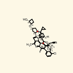 Cc1nc2c(F)c(-c3cccc(Cl)c3Cl)c(CCC#N)cc2c2c1cc([C@H]1C[C@H](O[C@@H]3CC[C@H]3O)CN1C(=O)C1CC1)n2[C@H]1[C@@H]2C[C@H]1N(C(=O)OC(C)(C)C)C2